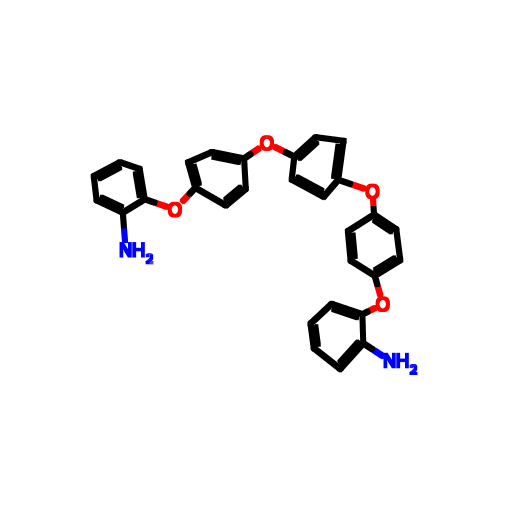 Nc1ccccc1Oc1ccc(Oc2ccc(Oc3ccc(Oc4ccccc4N)cc3)cc2)cc1